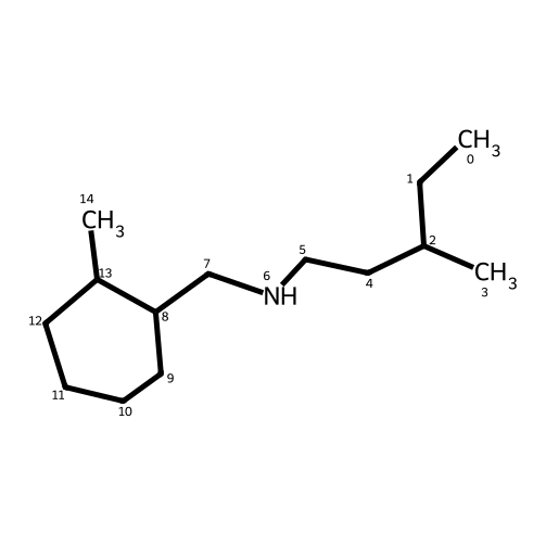 CCC(C)CCNCC1CCCCC1C